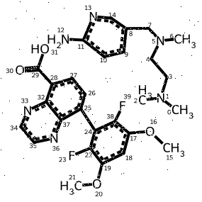 CN(C)CCN(C)Cc1ccc(N)nc1.COc1cc(OC)c(F)c(-c2ccc(C(=O)O)c3nccnc23)c1F